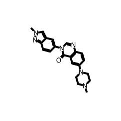 CN1CCN(c2ccc3ncn(-c4ccc5nn(C)cc5c4)c(=O)c3c2)CC1